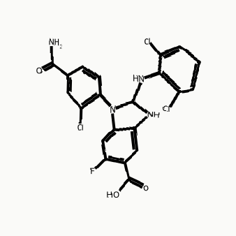 NC(=O)c1ccc(N2c3cc(F)c(C(=O)O)cc3NC2Nc2c(Cl)cccc2Cl)c(Cl)c1